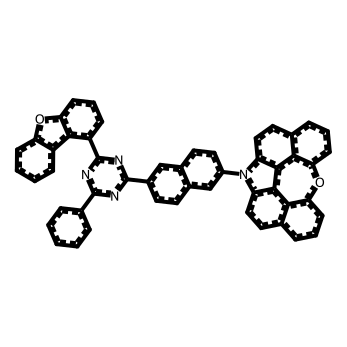 c1ccc(-c2nc(-c3ccc4cc(-n5c6ccc7cccc8oc9cccc%10ccc5c(c%109)c6c78)ccc4c3)nc(-c3cccc4oc5ccccc5c34)n2)cc1